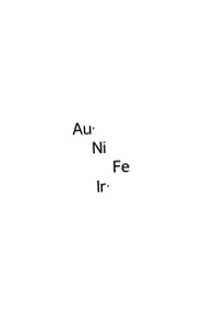 [Au].[Fe].[Ir].[Ni]